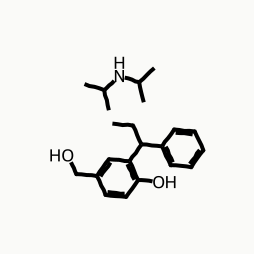 CC(C)NC(C)C.CCC(c1ccccc1)c1cc(CO)ccc1O